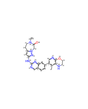 Cc1c(-c2ccc3cnc(Nc4cc5n(n4)CC(=O)N(C(C)C)CC5)nc3c2)cnc2c1NCCO2